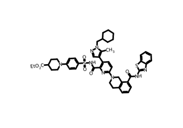 CCOC(=O)C1CCN(c2ccc(S(=O)(=O)NC(=O)c3nc(N4CCc5cccc(C(=O)Nc6nc7ccccc7s6)c5C4)ccc3-c3cnn(CC4CCCCC4)c3C)cc2)CC1